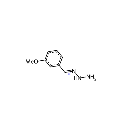 COc1cccc(/C=N/NN)c1